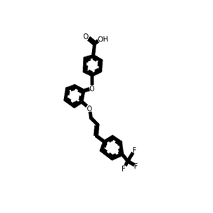 O=C(O)c1ccc(Oc2ccccc2OCC=Cc2ccc(C(F)(F)F)cc2)cc1